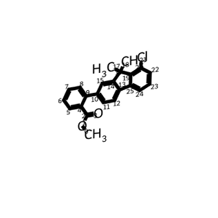 COC(=O)c1ccccc1-c1ccc2c(c1)C(C)(C)c1c(Cl)cccc1-2